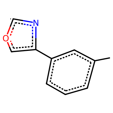 Cc1cccc(-c2co[c]n2)c1